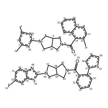 Cc1cc(C)nc(N2CC3CN(C(=O)c4c(C)ccc5ccccc45)CC3C2)n1.O=C(c1ccccc1-c1cccs1)N1CC2CN(c3nc4ccc(F)cc4s3)CC2C1